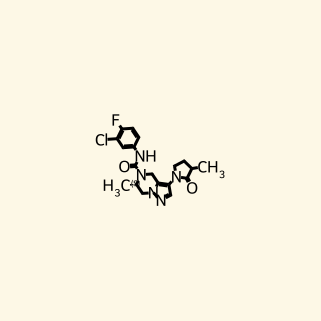 CC1CCN(c2cnn3c2CN(C(=O)Nc2ccc(F)c(Cl)c2)[C@@H](C)C3)C1=O